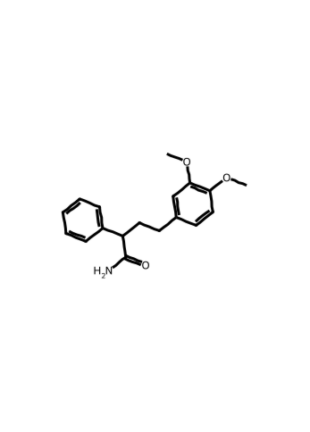 COc1ccc(CCC(C(N)=O)c2ccccc2)cc1OC